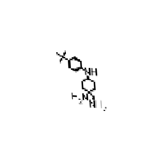 CC(C)(C)c1ccc(NC2CCC(N)(CN)CC2)cc1